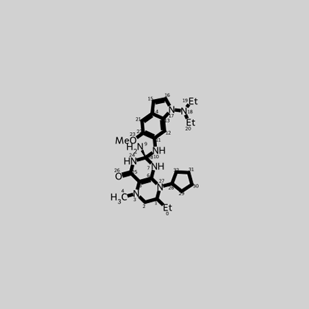 CCC1CN(C)C2=C(N[C@@](N)(Nc3cc4c(ccn4N(CC)CC)cc3OC)NC2=O)N1C1CCCC1